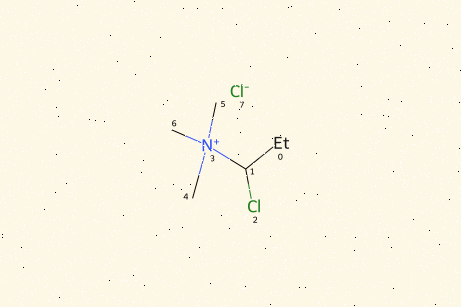 CCC(Cl)[N+](C)(C)C.[Cl-]